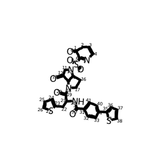 O=C1CC=CN=C1S(=O)(=O)N1CC(=O)C2C1CCN2C(=O)C(Cc1cccs1)NC(=O)c1ccc(-c2cccs2)cc1